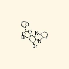 O=C(Oc1c(Br)cc(Br)c2nc3ccccc3nc12)c1ccco1